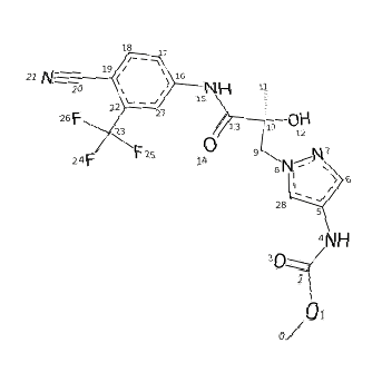 COC(=O)Nc1cnn(C[C@](C)(O)C(=O)Nc2ccc(C#N)c(C(F)(F)F)c2)c1